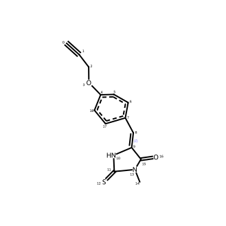 C#CCOc1ccc(/C=C2\NC(=S)N(C)C2=O)cc1